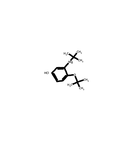 CC(C)(C)Oc1cccc[c]1[Mg][C](C)(C)C.Cl